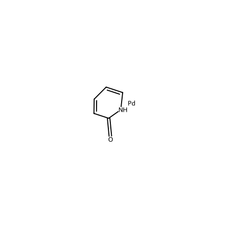 O=c1cccc[nH]1.[Pd]